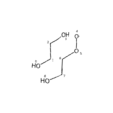 OCCO.[O]OCCO